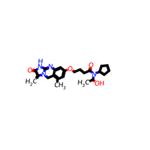 C=c1c(=O)[nH]c2n1Cc1c(C)cc(OCCCC(=O)N(C(C)O)C3CCCC3)cc1N=2